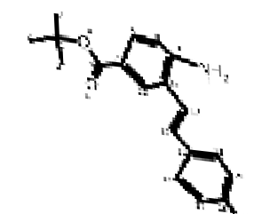 CC(C)(C)OC(=O)c1ccc(N)c(/C=C/c2ccc(Cl)cc2)c1